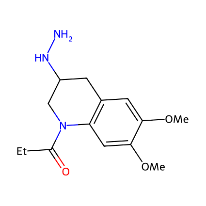 CCC(=O)N1CC(NN)Cc2cc(OC)c(OC)cc21